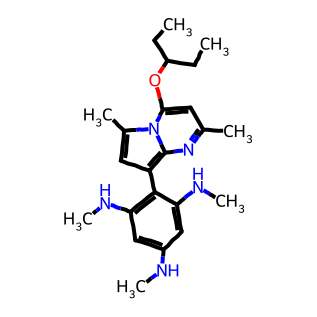 CCC(CC)Oc1cc(C)nc2c(-c3c(NC)cc(NC)cc3NC)cc(C)n12